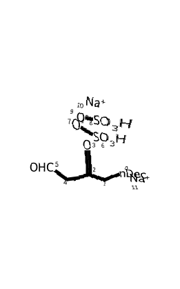 CCCCCCCCCCCC(=O)CC=O.O=S(=O)([O-])O.O=S(=O)([O-])O.[Na+].[Na+]